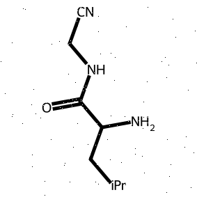 CC(C)CC(N)C(=O)NCC#N